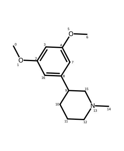 COc1cc(OC)cc(C2CCCN(C)C2)c1